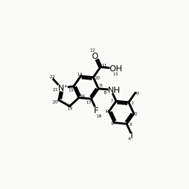 Cc1cc(I)ccc1Nc1c(C(=O)O)cc2c(c1F)CC=[N+]2C